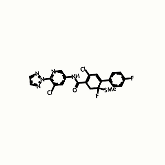 CSC1(F)CC(C(=O)Nc2cnc(-n3nccn3)c(Cl)c2)=C(Cl)C=C1c1ccc(F)cc1